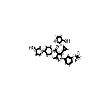 Cc1nn(-c2cccc(OC(F)(F)F)c2)c(C2CC2)c1C(=O)N1CCC(N2CC[C@@H](O)C2)CC1.O[C@@H]1CCNC1